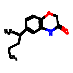 CCCC(C)c1ccc2c(c1)NC(=O)CO2